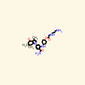 Cc1cn(-c2ccc(C(N)=O)c(N[C@H]3CC[C@H](OC(=O)CNCCCN)CC3)c2)c2c1C(=O)CC(C)(C)C2